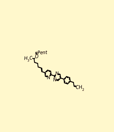 C=CCc1ccc(-c2cnc(-c3ccc(/C=C/CCCC(C)OCCCCC)cn3)nc2)cc1